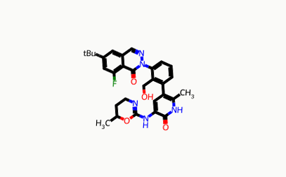 Cc1[nH]c(=O)c(NC2=NCCC(C)O2)cc1-c1cccc(-n2ncc3cc(C(C)(C)C)cc(F)c3c2=O)c1CO